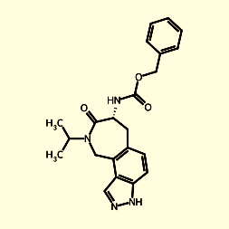 CC(C)N1Cc2c(ccc3[nH]ncc23)C[C@@H](NC(=O)OCc2ccccc2)C1=O